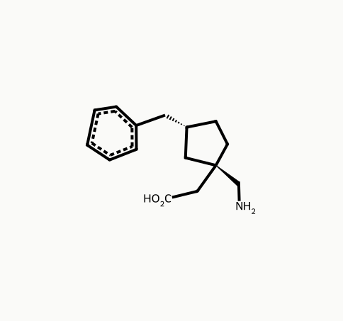 NC[C@]1(CC(=O)O)CC[C@@H](Cc2ccccc2)C1